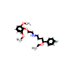 CCOC(CCCNCCOc1c(OC)cccc1OC)c1ccc(F)cc1